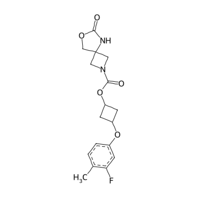 Cc1ccc(OC2CC(OC(=O)N3CC4(COC(=O)N4)C3)C2)cc1F